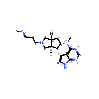 C/N=C/CCN1C[C@H]2C[C@@H](N(C)c3ncnc4[nH]ccc34)C[C@H]2C1